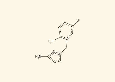 Nc1ccn(Cc2cc(F)ccc2C(F)(F)F)n1